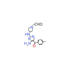 Cc1ccc(C(=O)c2cnc(NC3CCN(CC=O)CC3)nc2N)cc1